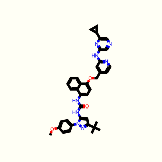 COc1ccc(-n2nc(C(C)(C)C)cc2NC(=O)Nc2ccc(OCc3ccnc(Nc4cncc(C5CC5)n4)c3)c3ccccc23)cc1